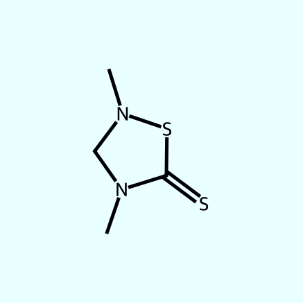 CN1CN(C)C(=S)S1